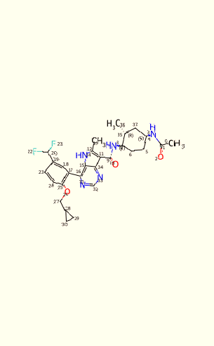 CC(=O)N[C@H]1CC[C@@H](NC(=O)c2c(C)[nH]c3c(-c4cc(C(F)F)ccc4OCC4CC4)ncnc23)[C@H](C)C1